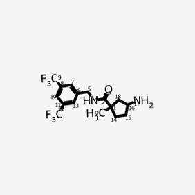 CC1(C(=O)NCc2cc(C(F)(F)F)cc(C(F)(F)F)c2)CCC(N)C1